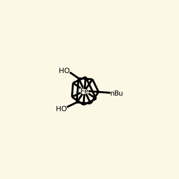 CCCC[C]12[CH]3[C]4(O)[C]5(O)[CH]1[Fe]32451678[CH]2[CH]1[CH]6[CH]7[CH]28